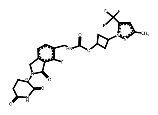 Cc1cc(C(F)(F)F)n(C2CC(OC(=O)NCc3ccc4c(c3F)C(=O)N([C@@H]3CCC(=O)NC3=O)C4)C2)n1